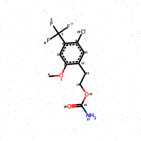 COc1cc(C(F)(F)F)c(Cl)cc1CCOC(N)=O